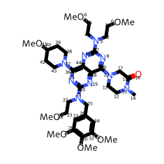 COCCN(CCOC)c1nc(N2CCN(C)C(=O)C2)c2nc(N(CCOC)Cc3cc(OC)c(OC)c(OC)c3)nc(N3CCC(OC)CC3)c2n1